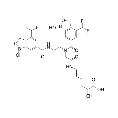 CC(CCCCNC(=O)CN(CCNC(=O)c1cc2c(c(C(F)F)c1)COB2O)C(=O)c1cc2c(c(C(F)F)c1)COB2O)C(=O)O